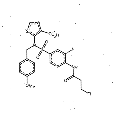 COc1ccc(CN(c2scnc2C(=O)O)S(=O)(=O)c2ccc(NC(=O)CCCl)c(F)c2)cc1